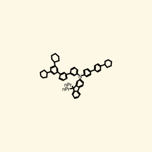 CCCC1(CCC)c2ccccc2-c2ccc(N(c3ccc(-c4ccc(C5CCCCC5)cc4)cc3)c3cccc(-c4cccc(-c5cc(C6CCCCC6)cc(C6CCCCC6)c5)c4)c3)cc21